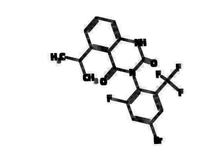 CC(C)c1cccc2[nH]c(=O)n(-c3c(F)cc(Br)cc3C(F)(F)F)c(=O)c12